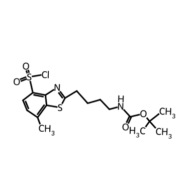 Cc1ccc(S(=O)(=O)Cl)c2nc(CCCCNC(=O)OC(C)(C)C)sc12